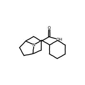 O=C(O)C1CC2CCC(C1)N2CC1CCCCC1